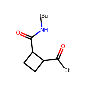 CCC(=O)C1CCC1C(=O)NC(C)(C)C